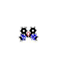 CC(OC(C)(c1ccccc1)n1nccn1)(c1ccccc1)n1nccn1